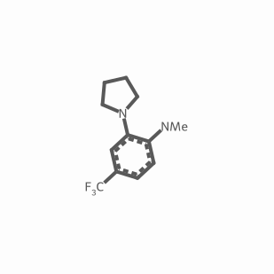 CNc1ccc(C(F)(F)F)cc1N1CCCC1